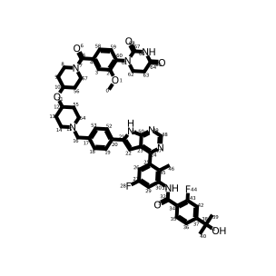 COc1cc(C(=O)N2CCC(OC3CCN(Cc4ccc(-c5cc6c(-c7cc(F)cc(NC(=O)c8ccc(C(C)(C)O)cc8F)c7C)ncnc6[nH]5)cc4)CC3)CC2)ccc1N1CCC(=O)NC1=O